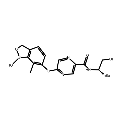 CCCC[C@H](CO)NC(=O)c1cnc(Oc2ccc3c(c2C)B(O)OC3)cn1